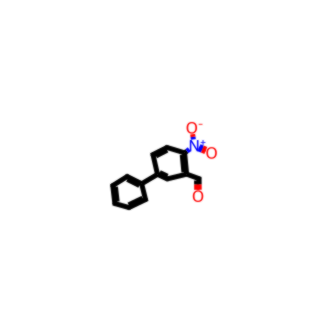 O=Cc1cc(-c2ccccc2)ccc1[N+](=O)[O-]